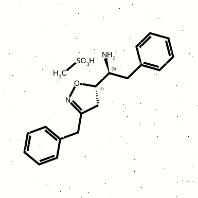 CS(=O)(=O)O.N[C@@H](Cc1ccccc1)[C@@H]1CC(Cc2ccccc2)=NO1